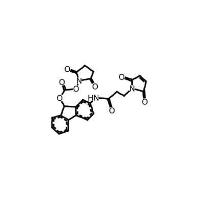 O=C(CCN1C(=O)C=CC1=O)Nc1ccc2c(c1)C(OC(=O)ON1C(=O)CCC1=O)c1ccccc1-2